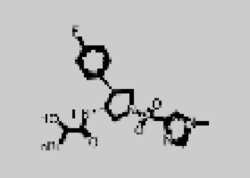 CCCCC(O)C(=O)N[C@H]1CN(S(=O)(=O)c2cn(C)cn2)C[C@@H]1c1ccc(F)cc1